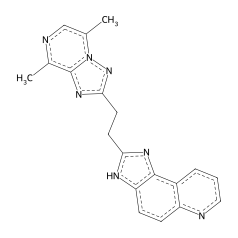 Cc1ncc(C)n2nc(CCc3nc4c(ccc5ncccc54)[nH]3)nc12